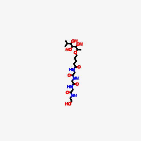 CC(C)C(O)C(O)C(O)C(C)OCCCCC(=O)NCC(=O)NCC(=O)NCC(=O)NCCO